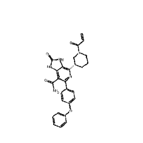 C=CC(=O)N1CCC[C@H](c2nc(-c3ccc(Oc4ccccc4)cc3)c(C(N)=O)c3[nH]c(=O)[nH]c23)C1